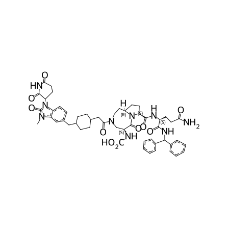 Cn1c(=O)n(C2CCC(=O)NC2=O)c2ccc(CC3CCC(CC(=O)N4CC[C@H]5CC[C@@H](C(=O)N[C@@H](CCC(N)=O)C(=O)NC(c6ccccc6)c6ccccc6)N5C(=O)[C@@H](NC(=O)O)C4)CC3)cc21